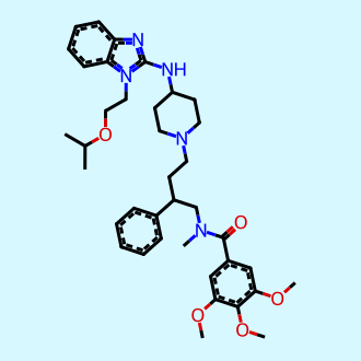 COc1cc(C(=O)N(C)CC(CCN2CCC(Nc3nc4ccccc4n3CCOC(C)C)CC2)c2ccccc2)cc(OC)c1OC